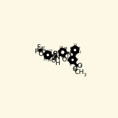 COC(=O)c1ccc2c(c1)c1ccccc1n2[C@H]1CCC[C@@H](NS(=O)(=O)c2ccc(OC(F)(F)F)cc2)[C@@H]1O